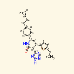 CCc1ccc(-c2cc(-c3ccc(CCC4CC4)cc3)[nH]c(=O)c2-c2nn[nH]n2)s1